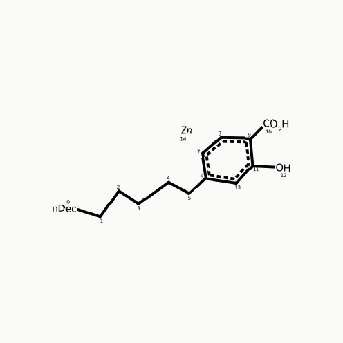 CCCCCCCCCCCCCCCc1ccc(C(=O)O)c(O)c1.[Zn]